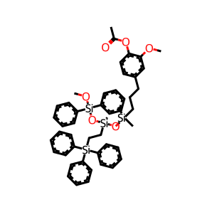 COc1cc(CCC[Si](C)(C)O[Si](C)(CC[Si](c2ccccc2)(c2ccccc2)c2ccccc2)O[Si](OC)(c2ccccc2)c2ccccc2)ccc1OC(C)=O